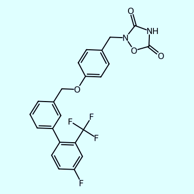 O=c1[nH]c(=O)n(Cc2ccc(OCc3cccc(-c4ccc(F)cc4C(F)(F)F)c3)cc2)o1